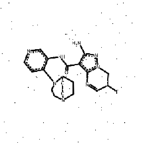 Nc1nn2c(c1C(=O)Nc1cnccc1N1CCN3CCC1CC3)N=CC(F)C2